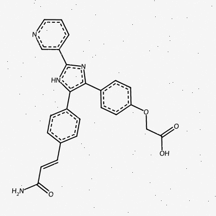 NC(=O)/C=C/c1ccc(-c2[nH]c(-c3cccnc3)nc2-c2ccc(OCC(=O)O)cc2)cc1